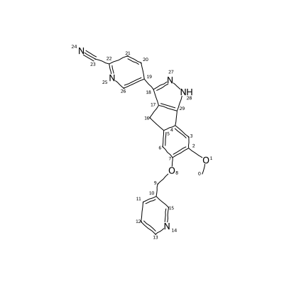 COc1cc2c(cc1OCc1cccnc1)Cc1c(-c3ccc(C#N)nc3)n[nH]c1-2